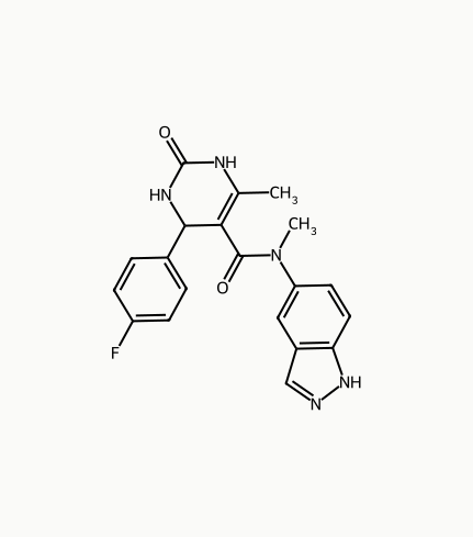 CC1=C(C(=O)N(C)c2ccc3[nH]ncc3c2)C(c2ccc(F)cc2)NC(=O)N1